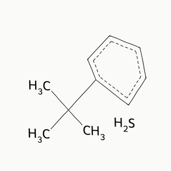 CC(C)(C)c1ccccc1.S